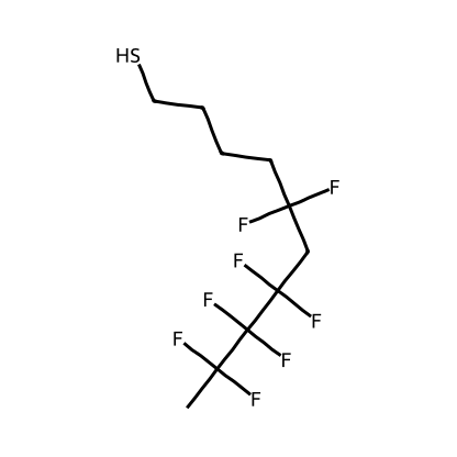 CC(F)(F)C(F)(F)C(F)(F)CC(F)(F)CCCCS